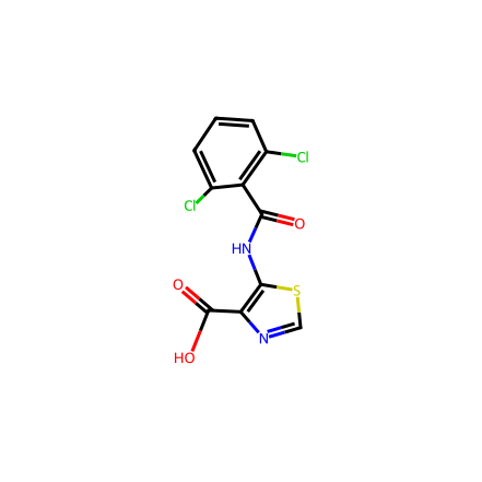 O=C(O)c1ncsc1NC(=O)c1c(Cl)cccc1Cl